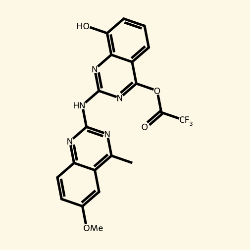 COc1ccc2nc(Nc3nc(OC(=O)C(F)(F)F)c4cccc(O)c4n3)nc(C)c2c1